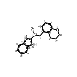 [O-][S+](Cc1nccc2c1CCCO2)c1nc2ccccc2[nH]1